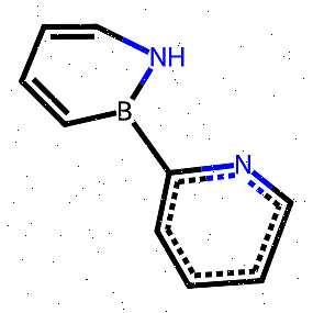 C1=CNB(c2ccccn2)C=C1